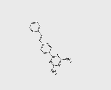 Nc1nc(N)nc(-c2ccc(/C=C/c3ccccc3)cc2)n1